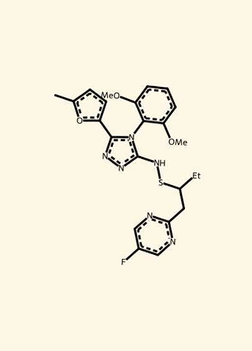 CCC(Cc1ncc(F)cn1)SNc1nnc(-c2ccc(C)o2)n1-c1c(OC)cccc1OC